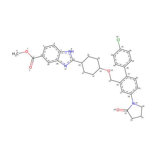 COC(=O)c1ccc2[nH]c(C3CCC(OCc4cc(N5CCCC5=O)ccc4-c4ccc(Cl)cc4)CC3)nc2c1